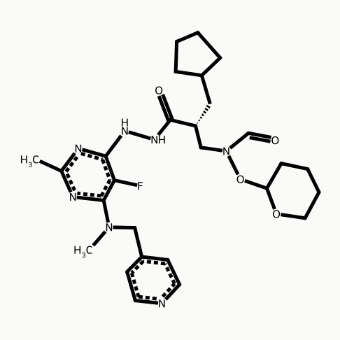 Cc1nc(NNC(=O)[C@H](CC2CCCC2)CN(C=O)OC2CCCCO2)c(F)c(N(C)Cc2ccncc2)n1